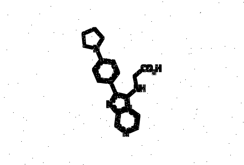 O=C(O)CNc1c(-c2ccc(N3CCCC3)cc2)nc2cnccn12